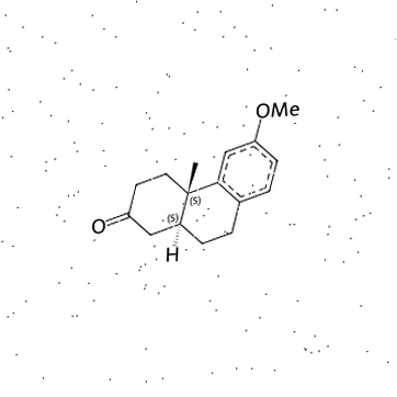 COc1ccc2c(c1)[C@@]1(C)CCC(=O)C[C@@H]1CC2